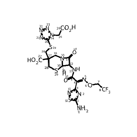 Nc1nc(C(=NOCC(F)(F)F)C(=O)NC2C(=O)N3CC(CSc4nnnn4CC(=O)O)(C(=O)O)CS[C@H]23)ns1